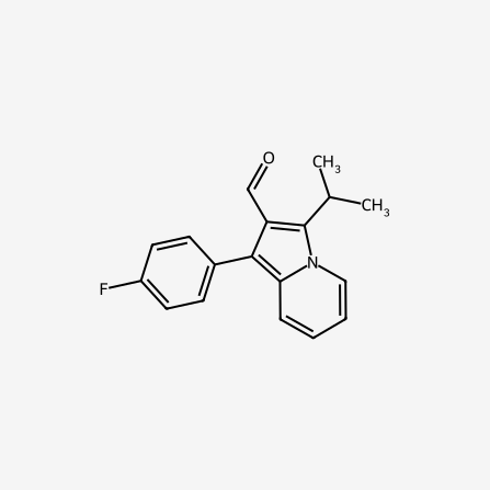 CC(C)c1c(C=O)c(-c2ccc(F)cc2)c2ccccn12